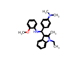 CCn1c(C)c(C(Nc2ccccc2OC)c2ccc(N(C)C)cc2)c2ccccc21